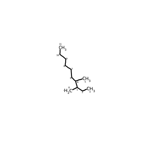 [CH2]C(CC)C(C)CCCCCC